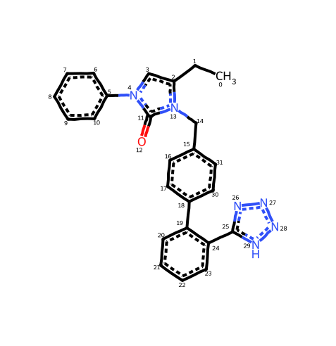 CCc1cn(-c2ccccc2)c(=O)n1Cc1ccc(-c2ccccc2-c2nnn[nH]2)cc1